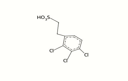 O=S(=O)(O)CCc1ccc(Cl)c(Cl)c1Cl